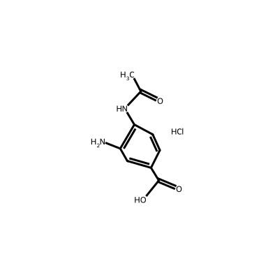 CC(=O)Nc1ccc(C(=O)O)cc1N.Cl